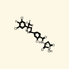 O=C(N[C@@H]1CC(=O)N(O)C1=O)c1ccc(C2=NOC(c3cc(Cl)c(F)c(Cl)c3)(C(F)(F)F)C2)cc1Cl